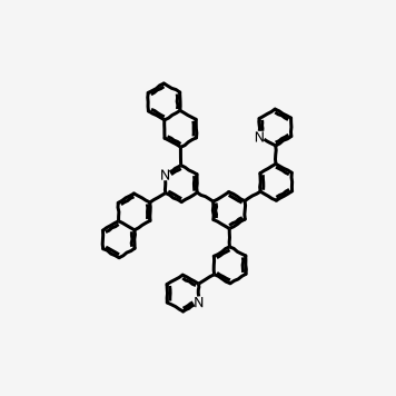 c1ccc(-c2cccc(-c3cc(-c4cccc(-c5ccccn5)c4)cc(-c4cc(-c5ccc6ccccc6c5)nc(-c5ccc6ccccc6c5)c4)c3)c2)nc1